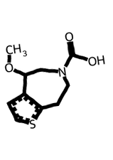 COC1CN(C(=O)O)CCc2sccc21